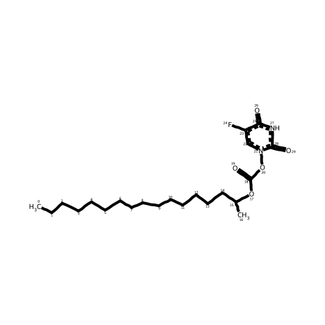 CCCCCCCCCCCCCCCC(C)OC(=O)On1cc(F)c(=O)[nH]c1=O